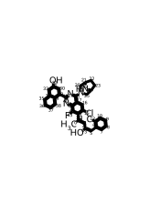 C/C(=C\C(O)=C/c1ccccc1C)c1c(Cl)cc2c(N3CC4CCC(C3)N4)nc(-c3cc(O)cc4ccccc34)nc2c1F